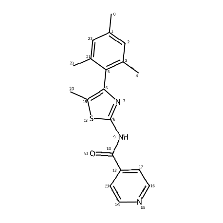 Cc1cc(C)c(-c2nc(NC(=O)c3ccncc3)sc2C)c(C)c1